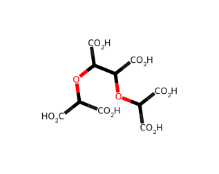 O=C(O)C(OC(C(=O)O)C(OC(C(=O)O)C(=O)O)C(=O)O)C(=O)O